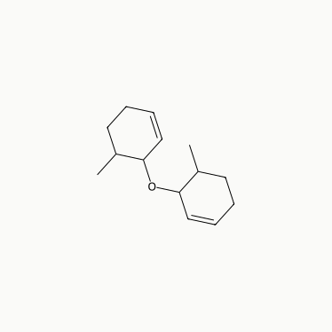 CC1CCC=CC1OC1C=CCCC1C